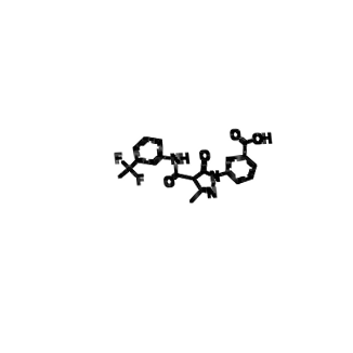 CC1=NN(c2cccc(C(=O)O)c2)C(=O)C1C(=O)Nc1cccc(C(C)(F)F)c1